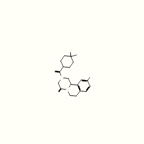 [2H]C1(C)CCC(C(=O)N2CC(=O)N3CCc4ccc(F)cc4C3C2)CC1